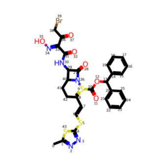 Cc1nnc(SC=CC2=S(C(=O)OC(c3ccccc3)c3ccccc3)N3C(=O)C(NC(=O)C(=NO)C(=O)CBr)C3CC2)s1